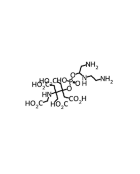 NCCNC(CN)OP(=O)(O)OC(CC(=O)O)(CC(=O)O)C(CC(=O)O)(CC(=O)O)NCC(=O)O